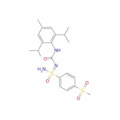 Cc1cc(C(C)C)c(NC(=O)N=S(N)(=O)c2ccc(S(C)(=O)=O)cc2)c(C(C)C)c1